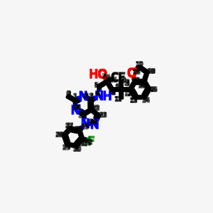 Cc1nc(NCC(O)(CC(C)(C)c2cccc3c2OCC3)C(F)(F)F)c2cnn(-c3ccccc3F)c2n1